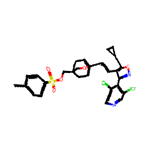 Cc1ccc(S(=O)(=O)OCC23CCC(C=Cc4c(-c5c(Cl)cncc5Cl)noc4C4CC4)(CC2)OC3)cc1